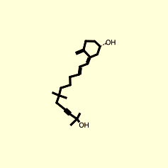 C=C1CC[C@H](O)C/C1=C/C=C/CCCC(C)(C)CC#CC(C)(C)O